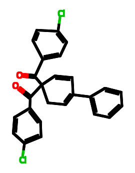 O=C(c1ccc(Cl)cc1)C1(C(=O)c2ccc(Cl)cc2)C=CC(c2ccccc2)=CC1